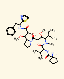 CCC(C)C(C(CC(=O)N1CCCC1C(OC)C(C)C(=O)NC(Cc1ccccc1)c1nccs1)OC)N(C)C(=O)C(NC(=O)C1(N)CCCC1)C(C)C